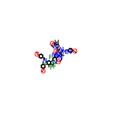 COc1ccc(CNc2nccnc2[C@@H](C)N2CCOc3nc(-c4cc(N(Cc5ccc(OC)cc5)Cc5ccc(OC)cc5)c(F)c(C)c4C(F)(F)F)c(F)c4nc(OC[C@@H]5CC[C@H]6COCCN65)nc2c34)cc1